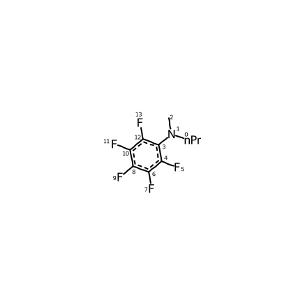 [CH2]CCN(C)c1c(F)c(F)c(F)c(F)c1F